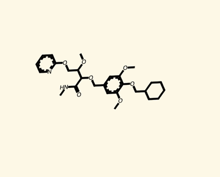 CNC(=O)C(OCc1cc(OC)c(OCC2CCCCC2)c(OC)c1)C(COc1ccccn1)OC